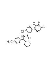 Cc1ccc(C(NC(=O)c2cc(-n3ncc(=O)[nH]c3=O)ncc2Cl)C2CCCCC2)cc1